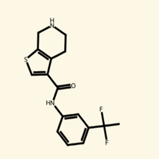 CC(F)(F)c1cccc(NC(=O)c2csc3c2CCNC3)c1